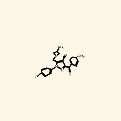 Cc1ccc(C(=O)c2nn(-c3ccc(Cl)cc3)c(CN3CC(N)C3)c2C#N)cc1